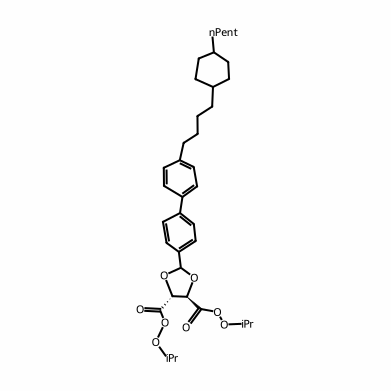 CCCCCC1CCC(CCCCc2ccc(-c3ccc(C4O[C@@H](C(=O)OOC(C)C)[C@H](C(=O)OOC(C)C)O4)cc3)cc2)CC1